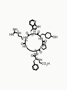 N=C(N)NCCC[C@@H]1NC(=O)[C@H](Cc2c[nH]c3ncccc23)NC(=O)[C@@H](CC2CCC(O)CC2)NC(=O)[C@@H]2CCCN2C(=O)[C@@H](NC(=O)[C@H](Cc2ccccc2)NCC(=O)O)CCCNC1=O